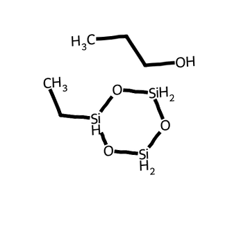 CCCO.CC[SiH]1O[SiH2]O[SiH2]O1